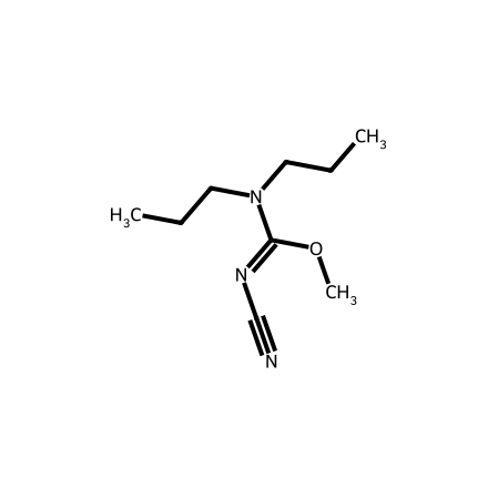 CCCN(CCC)C(=NC#N)OC